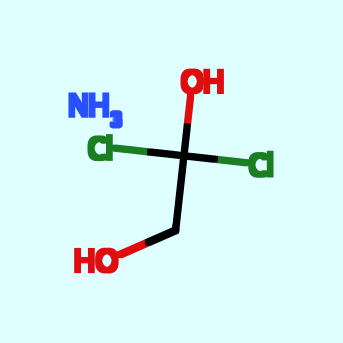 N.OCC(O)(Cl)Cl